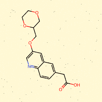 O=C(O)Cc1ccc2ncc(OCC3COCCO3)cc2c1